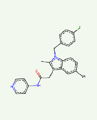 Cc1c(CC(=O)Nc2ccncc2)c2cc(C(C)C)ccc2n1Cc1ccc(F)cc1